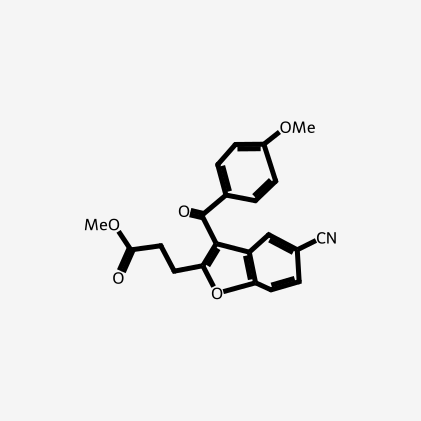 COC(=O)CCc1oc2ccc(C#N)cc2c1C(=O)c1ccc(OC)cc1